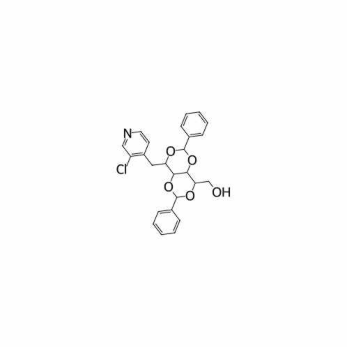 OCC1OC(c2ccccc2)OC2C(Cc3ccncc3Cl)OC(c3ccccc3)OC12